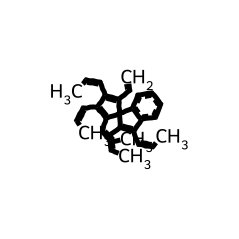 C=CC1=C(/C=C\C)C(/C=C\C)=C(/C=C\C)C12C(/C=C\C)=C(/C=C\C)c1ccccc12